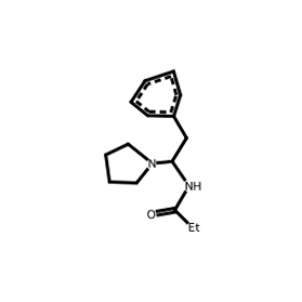 CCC(=O)NC(Cc1ccccc1)N1CCCC1